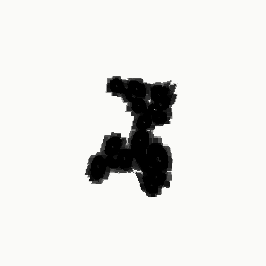 C1=CC2C(=CC(N(c3ccc(C=C(c4ccccc4)c4ccccc4)cc3)c3ccc(-c4ccc(N(c5ccc(C=C(c6ccccc6)c6ccccc6)cc5)c5cc6c7ccccc7ccc6c6ccccc56)cc4)cc3)c3ccccc32)c2ccccc21